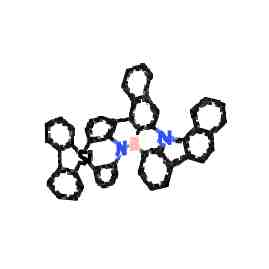 c1ccc2c(c1)-c1ccccc1[Si]21c2ccccc2N2B3c4c(cc5ccccc5c4-c4cccc1c42)-n1c2c3cccc2c2ccc3ccccc3c21